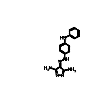 NC1=NN=C(N)C1=NNc1ccc(Nc2ccccc2)cc1